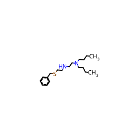 CCCCN(CCCC)CCNCCSCc1ccccc1